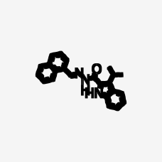 CC(C)c1c(C(=O)NN=Cc2cccc3ccccc23)[nH]c2ccccc12